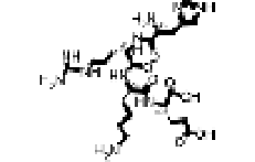 N=C(N)NCCC[C@H](NC(=O)[C@@H](N)Cc1c[nH]cn1)C(=O)N[C@@H](CCCCN)C(=O)N[C@@H](CCC(=O)O)C(=O)O